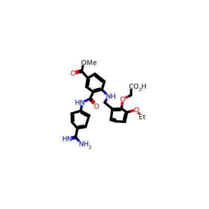 CCOc1cccc(CNc2ccc(C(=O)OC)cc2C(=O)Nc2ccc(C(=N)N)cc2)c1OCC(=O)O